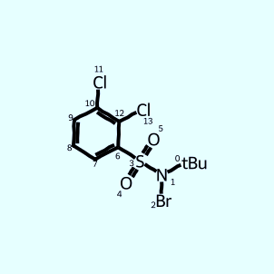 CC(C)(C)N(Br)S(=O)(=O)c1cccc(Cl)c1Cl